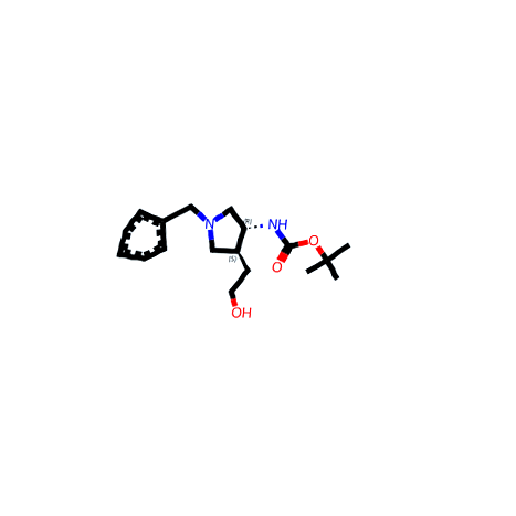 CC(C)(C)OC(=O)N[C@H]1CN(Cc2ccccc2)C[C@@H]1CCO